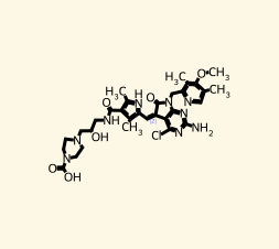 COc1c(C)cnc(CN2C(=O)/C(=C\c3[nH]c(C)c(C(=O)NCC(O)CN4CCN(C(=O)O)CC4)c3C)c3c(Cl)nc(N)nc32)c1C